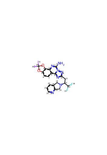 Nc1nc2c3c(ccc2c2nc(CC(C(F)F)N4Cc5cccnc5C4)nn12)OC(I)(I)O3